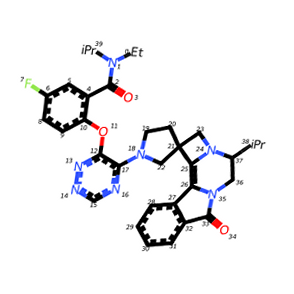 CCN(C(=O)c1cc(F)ccc1Oc1nncnc1N1CCC2(C1)CN1C2=C2c3ccccc3C(=O)N2CC1C(C)C)C(C)C